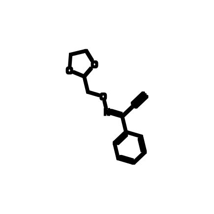 C#CC(=NOCC1OCCO1)c1ccccc1